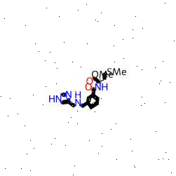 COC(=O)[C@H](CCSC)NC(=O)c1cccc(CNCc2c[nH]cn2)c1